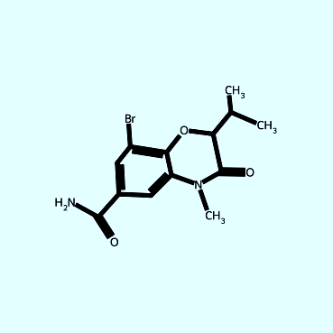 CC(C)C1Oc2c(Br)cc(C(N)=O)cc2N(C)C1=O